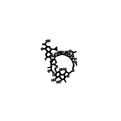 C=C(O)c1cn(C2CC2)c2nc(N3CCN(/N=C/c4c5c(O)c6c(O)c(C)c7c(c6c4O)C(=O)[C@@](C)(O/C=C/[C@H](OC)[C@@H](C)[C@@H](OC(C)=O)[C@H](C)[C@H](O)[C@H](C)[C@@H](O)[C@@H](C)/C=C/C=C(/C)C(=O)N5)O7)CC3)c(F)cc2c1=O